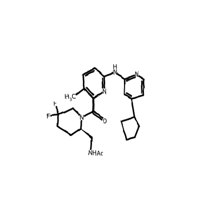 CC(=O)NC[C@H]1CCC(F)(F)CN1C(=O)c1nc(Nc2cc(C3CCCC3)ccn2)ccc1C